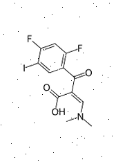 CN(C)/C=C(\C(=O)O)C(=O)c1cc(I)c(F)cc1F